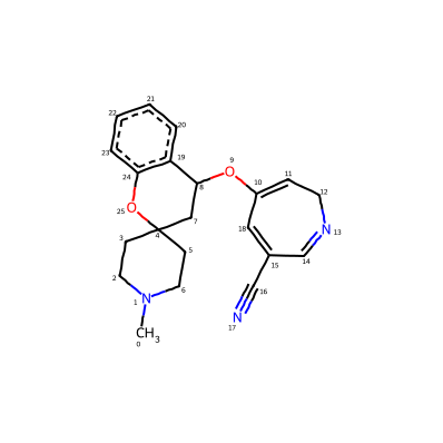 CN1CCC2(CC1)CC(OC1=CCN=CC(C#N)=C1)c1ccccc1O2